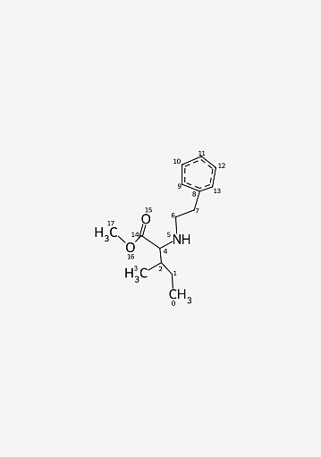 CCC(C)C(NCCc1ccccc1)C(=O)OC